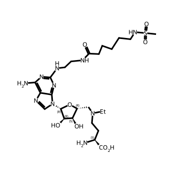 CCN(CC[C@H](N)C(=O)O)C[C@H]1O[C@@H](n2cnc3c(N)nc(NCCNC(=O)CCCCCNS(C)(=O)=O)nc32)[C@H](O)[C@@H]1O